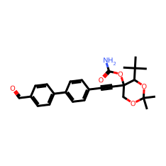 CC1(C)OCC(C#Cc2ccc(-c3ccc(C=O)cc3)cc2)(OC(N)=O)C(C(C)(C)C)O1